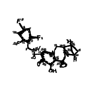 O=C(NCc1c(F)cc(F)cc1F)c1cn2c(c(O)c1=O)C(=O)N1C(C2)[C@H]2C[C@@H]1C2